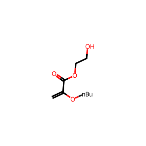 C=C(OCCCC)C(=O)OCCO